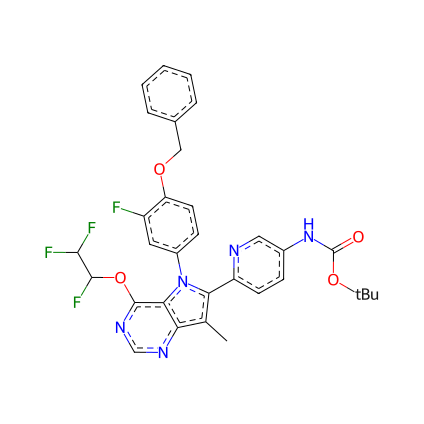 Cc1c(-c2ccc(NC(=O)OC(C)(C)C)cn2)n(-c2ccc(OCc3ccccc3)c(F)c2)c2c(OC(F)C(F)F)ncnc12